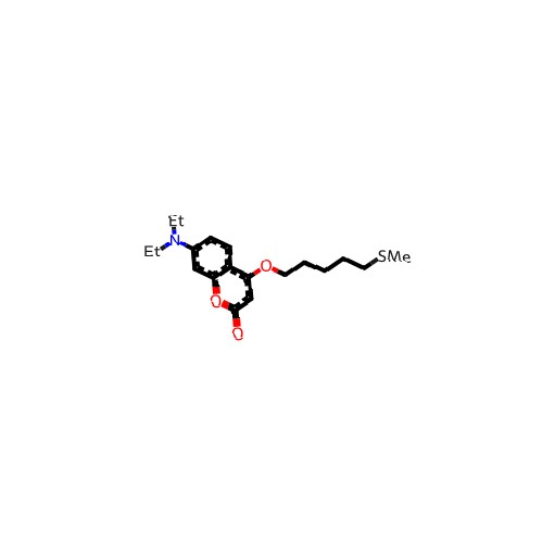 CCN(CC)c1ccc2c(OCCCCCSC)cc(=O)oc2c1